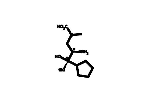 CN(C[C@@H](N)[C@](O)(C1CCCC1)C(C)(C)C)C(=O)O